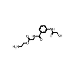 NCCOC(=O)CNC(=O)c1cccc(NC(=O)CS)c1